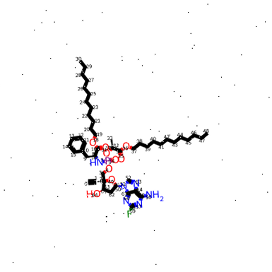 C#C[C@]1(COP(=O)(N[C@@H](Cc2ccccc2)C(=O)OCCCCCCCCCCCC)O[C@@H](C)C(=O)OCCCCCCCCCCCC)O[C@@H](n2cnc3c(N)nc(F)nc32)C[C@@H]1O